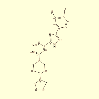 Fc1ccc(-c2c[nH]c(-c3ccnc(N4CCC(N5CCCC5)CC4)c3)n2)cc1F